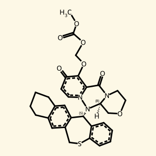 COC(=O)OCOc1c2n(ccc1=O)N([C@H]1c3cc4c(cc3CSc3ccccc31)CCCC4)[C@@H]1COCCN1C2=O